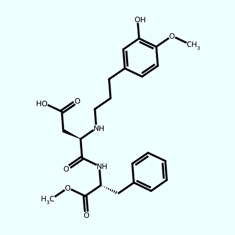 COC(=O)[C@@H](Cc1ccccc1)NC(=O)[C@@H](CC(=O)O)NCCCc1ccc(OC)c(O)c1